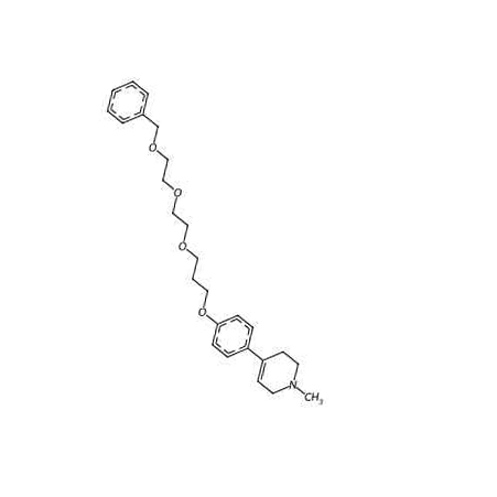 CN1CC=C(c2ccc(OCCCOCCOCCOCc3ccccc3)cc2)CC1